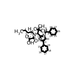 CCCCN(C(=O)C(=O)O)[C@@H](c1nc(-c2ccccc2)cn1Cc1ccccc1)C(C)(C)C